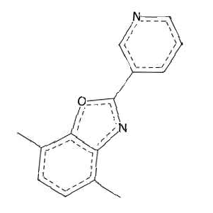 Cc1ccc(C)c2oc(-c3cccnc3)nc12